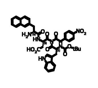 CC(C)(C)OC(=O)N[C@@H](Cc1c[nH]c2ccccc12)C(=O)N(C(=O)Cc1ccc([N+](=O)[O-])cc1)C(=O)[C@H](CC(=O)O)NC(=O)[C@@H](N)Cc1ccc2ccccc2c1